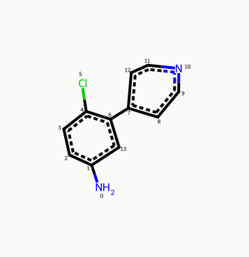 Nc1ccc(Cl)c(-c2ccncc2)c1